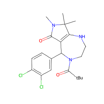 CN1C(=O)C2=C(NCCN(C(=O)C(C)(C)C)C2c2ccc(Cl)c(Cl)c2)C1(C)C